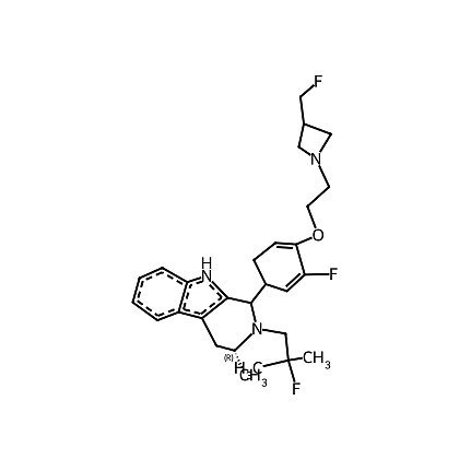 C[C@@H]1Cc2c([nH]c3ccccc23)C(C2C=C(F)C(OCCN3CC(CF)C3)=CC2)N1CC(C)(C)F